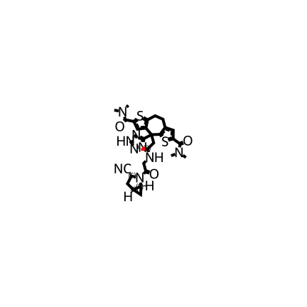 C[C@@H](CC1(c2nn[nH]n2)c2cc(C(=O)N(C)C)sc2CCc2cc(C(=O)N(C)C)sc21)NCC(=O)N1[C@H](C#N)C[C@@H]2C[C@@H]21